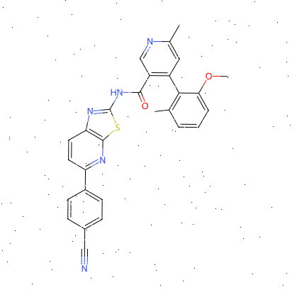 COc1cccc(C)c1-c1cc(C)ncc1C(=O)Nc1nc2ccc(-c3ccc(C#N)cc3)nc2s1